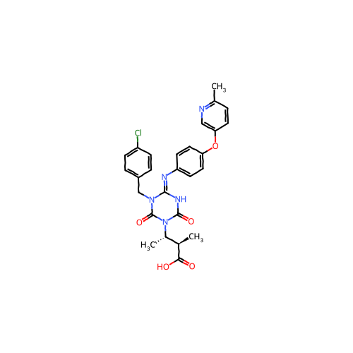 Cc1ccc(Oc2ccc(/N=c3\[nH]c(=O)n([C@@H](C)[C@@H](C)C(=O)O)c(=O)n3Cc3ccc(Cl)cc3)cc2)cn1